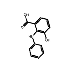 O=C(O)c1cccc(O)c1Nc1cc[c]cc1